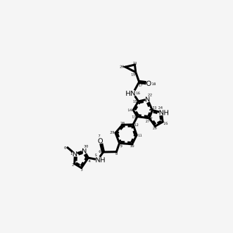 Cn1ccc(NC(=O)Cc2ccc(-c3cc(NC(=O)C4CC4)nc4[nH]ccc34)cc2)n1